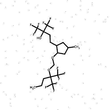 CCCC(OCOC1CC(C)CC1CCC(O)(C(F)(F)F)C(F)(F)F)(C(F)(F)F)C(F)(F)F